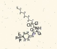 CCCCCCCCC(Cl)(Cl)C1NC(=O)/C(=C/c2ccc(C(F)(F)F)cc2)O1